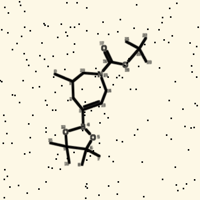 CC1CC(B2OC(C)(C)C(C)(C)O2)=CCN(C(=O)OC(C)(C)C)C1